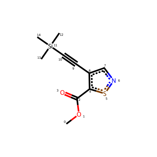 COC(=O)c1sncc1C#C[Si](C)(C)C